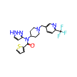 O=C(c1cccs1)N(c1cc[nH]n1)C1CCN(Cc2ccc(C(F)(F)F)nc2)CC1